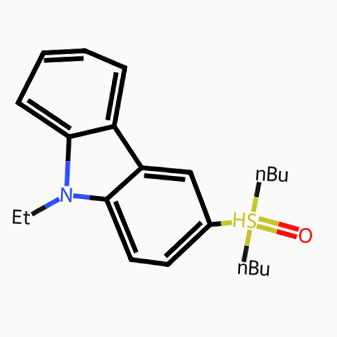 CCCC[SH](=O)(CCCC)c1ccc2c(c1)c1ccccc1n2CC